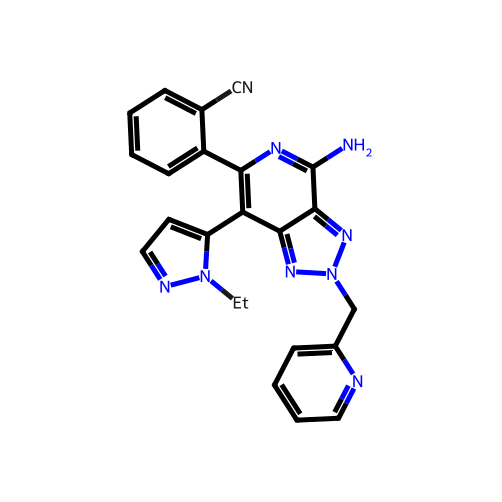 CCn1nccc1-c1c(-c2ccccc2C#N)nc(N)c2nn(Cc3ccccn3)nc12